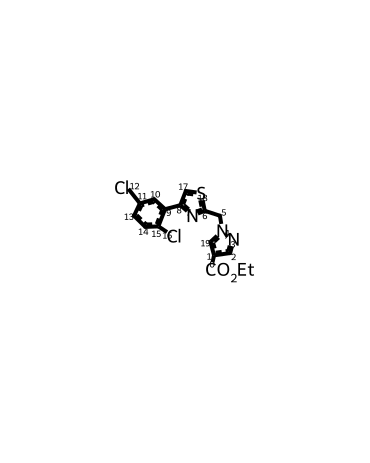 CCOC(=O)c1cnn(Cc2nc(-c3cc(Cl)ccc3Cl)cs2)c1